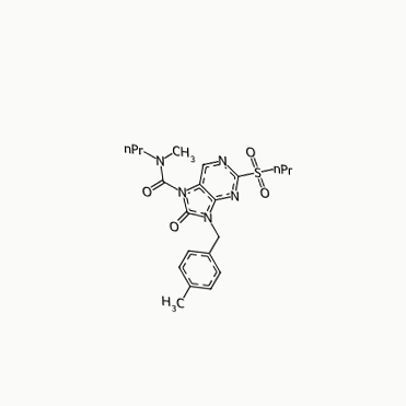 CCCN(C)C(=O)n1c(=O)n(Cc2ccc(C)cc2)c2nc(S(=O)(=O)CCC)ncc21